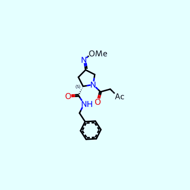 CON=C1C[C@@H](C(=O)NCc2ccccc2)N(C(=O)CC(C)=O)C1